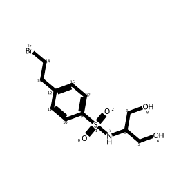 O=S(=O)(NC(CO)CO)c1ccc(CCBr)cc1